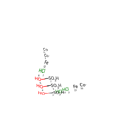 Cl.Cl.Cl.O=S(=O)(O)O.O=S(=O)(O)O.O=S(=O)(O)O.[Co].[Co].[Co].[Fe].[Fe]